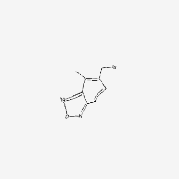 Cc1c(CBr)ccc2nonc12